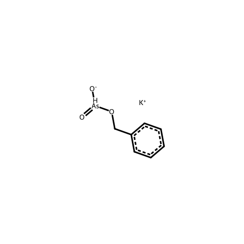 O=[AsH]([O-])OCc1ccccc1.[K+]